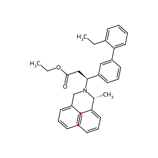 CCOC(=O)C[C@@H](c1cccc(-c2ccccc2CC)c1)N(Cc1ccccc1)[C@H](C)c1ccccc1